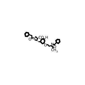 Cc1oc(-c2ccccc2)nc1CCOc1cccc(C[C@@H]2CN(C(=O)Cc3ccccc3)C[C@@H]2C(=O)O)c1